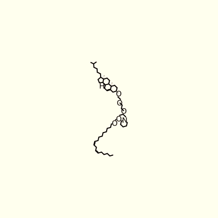 CCCCC/C=C\C/C=C\CCCCCCCCOCOCC(CN1CCCCC1)OCCOCCO[C@H]1CC[C@@]2(C)C(=CC[C@H]3C4CCC(CCCCC(C)C)[C@@]4(C)CCC32)C1